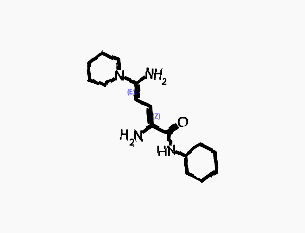 N/C(=C\C=C(/N)N1CCCCC1)C(=O)NC1CCCCC1